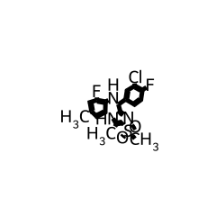 Cc1ccc(NC(c2ccc(F)c(Cl)c2)c2nc(S(C)(=O)=O)c(C)[nH]2)c(F)c1